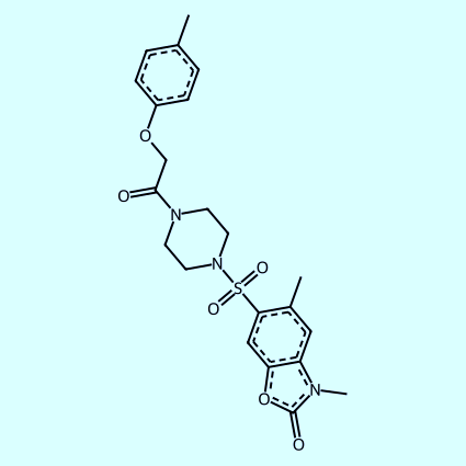 Cc1ccc(OCC(=O)N2CCN(S(=O)(=O)c3cc4oc(=O)n(C)c4cc3C)CC2)cc1